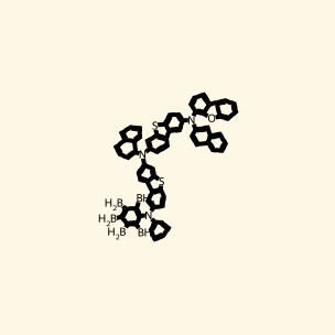 Bc1c(B)c(B)c(N(c2ccccc2)c2ccc3sc4cc(N(c5ccc6c(c5)sc5ccc(N(c7ccc8ccccc8c7)c7cccc8c7oc7ccccc78)cc56)c5cccc6ccccc56)ccc4c3c2)c(B)c1B